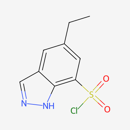 CCc1cc(S(=O)(=O)Cl)c2[nH]ncc2c1